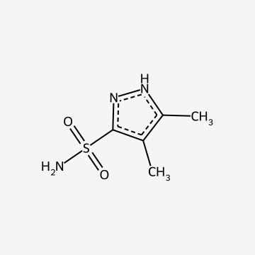 Cc1[nH]nc(S(N)(=O)=O)c1C